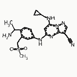 CC(N)c1ccc(Nc2cc(NC3CC3)n3ncc(C#N)c3n2)cc1CS(C)(=O)=O